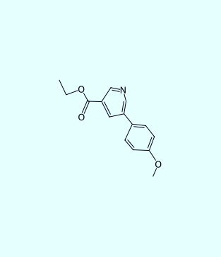 CCOC(=O)c1cncc(-c2ccc(OC)cc2)c1